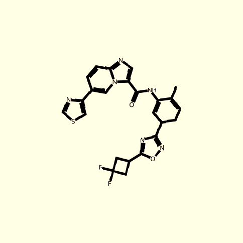 CC1=CCC(c2noc(C3CC(F)(F)C3)n2)C=C1NC(=O)c1cnc2ccc(-c3cscn3)cn12